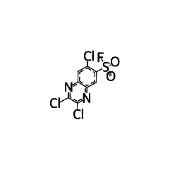 O=S(=O)(F)c1cc2nc(Cl)c(Cl)nc2cc1Cl